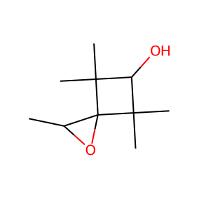 CC1OC12C(C)(C)C(O)C2(C)C